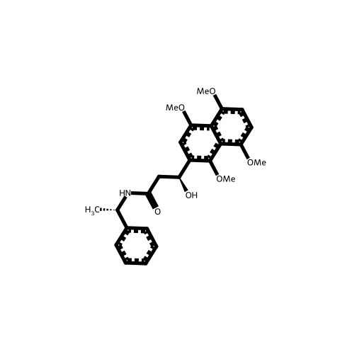 COc1ccc(OC)c2c(OC)c([C@@H](O)CC(=O)N[C@@H](C)c3ccccc3)cc(OC)c12